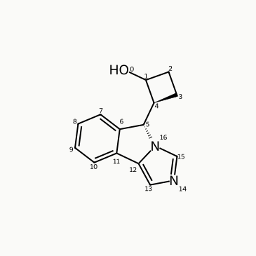 OC1CC[C@H]1[C@H]1c2ccccc2-c2cncn21